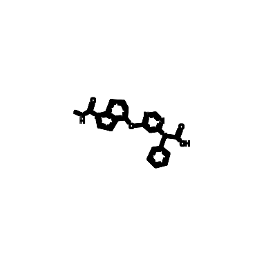 CNC(=O)n1ccc2c(Oc3cc(N(C(=O)O)c4ccccc4)ncn3)cccc21